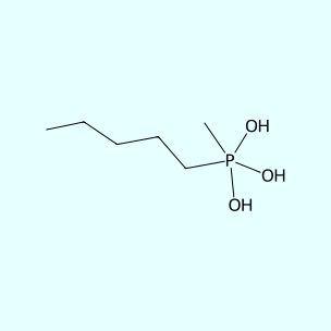 CCCCCP(C)(O)(O)O